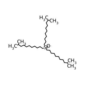 CC(C)CCCCCCCCC[Si]([O])(CCCCCCCCCC(C)C)CCCCCCCCCC(C)C